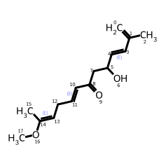 C=C(C)/C=C/C(O)CC(=O)/C=C/C/C=C(\C)OC